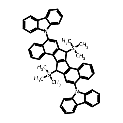 C[Si](C)(C)C1C2=C(c3c1cc(-n1c4ccccc4c4ccccc41)c1ccccc31)C([Si](C)(C)C)c1cc(-n3c4ccccc4c4ccccc43)c3ccccc3c12